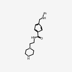 CC(C)NCc1ccc(C(=O)NCCN2CCNCC2)cc1